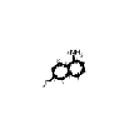 Nc1cccc2cc(F)ccc12